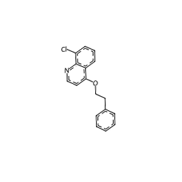 Clc1cccc2c(OCCc3ccccc3)ccnc12